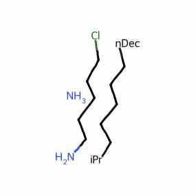 CCCCCCCCCCCCCCCC(C)C.N.NCCCCCCl